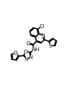 O=C(Nc1nnc(-c2ccco2)o1)c1cc(-c2cccs2)nc2c(Cl)cccc12